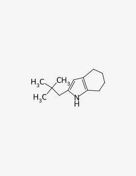 CC(C)(C)Cc1cc2c([nH]1)CCCC2